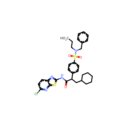 O=C(O)CCN(Cc1ccccc1)S(=O)(=O)c1ccc(C(CC2CCCCC2)C(=O)Nc2nc3ccc(Cl)nc3s2)cc1